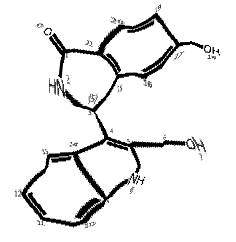 O=C1N[C@H](c2c(CO)[nH]c3ccccc23)c2cc(O)ccc21